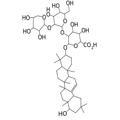 CC1(C)CC(O)C2(C)CCC3(C)C(=CCC4C5(C)CCC(OC6OC(C(=O)O)C(O)C(O)C6OC6OC(CO)C(O)C(O)C6OC6OCC(O)C(O)C6O)C(C)(C)C5CCC43C)C2C1